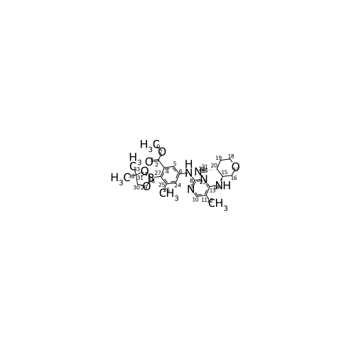 COC(=O)c1cc(Nc2ncc(C)c(N[C@@H]3COCC[C@H]3C#N)n2)cc(C)c1B1OCC(C)(C)O1